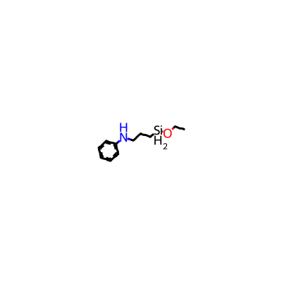 CCO[SiH2]CCCNc1ccccc1